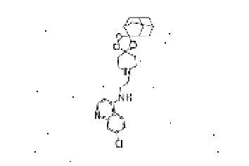 Clc1ccc2c(NCCN3CCC4(CC3)OOC3(O4)C4CC5CC(C4)CC3C5)ccnc2c1